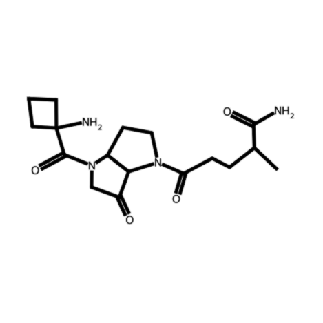 CC(C[CH]C(=O)N1CCC2C1C(=O)CN2C(=O)C1(N)CCC1)C(N)=O